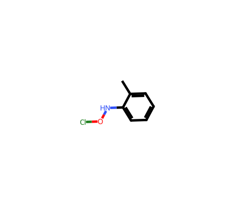 Cc1ccccc1NOCl